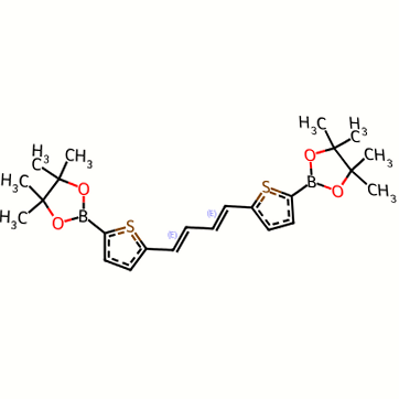 CC1(C)OB(c2ccc(/C=C/C=C/c3ccc(B4OC(C)(C)C(C)(C)O4)s3)s2)OC1(C)C